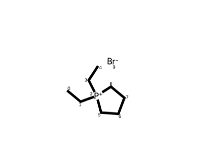 CC[P+]1(CC)CCCC1.[Br-]